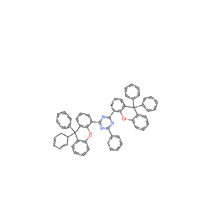 C1=CCC(C2(c3ccccc3)c3ccccc3Oc3c(-c4nc(-c5ccccc5)nc(-c5cccc6c5Oc5ccccc5C6(c5ccccc5)c5ccccc5)n4)cccc32)C=C1